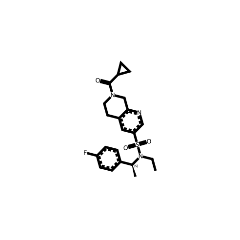 CCN([C@@H](C)c1ccc(F)cc1)S(=O)(=O)c1cnc2c(c1)CCN(C(=O)C1CC1)C2